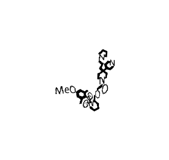 COc1cc(C)c(S(=O)(=O)N2CCCCC2COCC(=O)N2CCC(CCCN3CCCC3)(c3ccncc3)CC2)c(C)c1